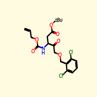 C=CCOC(=O)NC(CC(=O)OC(C)(C)C)C(=O)COCc1c(Cl)cccc1Cl